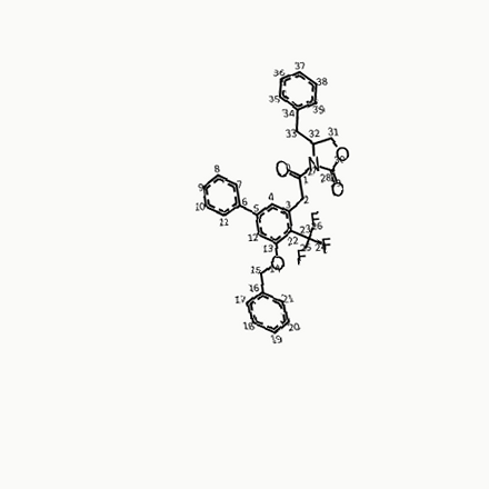 O=C(Cc1cc(-c2ccccc2)cc(OCc2ccccc2)c1C(F)(F)F)N1C(=O)OCC1Cc1ccccc1